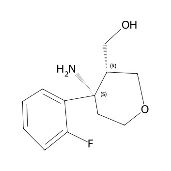 N[C@@]1(c2ccccc2F)CCOC[C@H]1CO